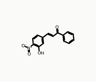 O=C(/C=C/c1ccc([N+](=O)[O-])c(O)c1)c1ccccc1